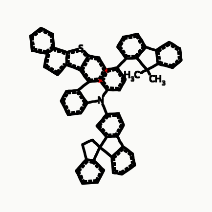 CC1(C)c2ccccc2-c2cccc(-c3ccc(N(c4ccc5c(c4)C4(CCc6ccccc64)c4ccccc4-5)c4ccccc4-c4cccc5sc6c7ccccc7ccc6c45)cc3)c21